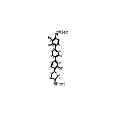 CCCCCCOc1ccc(-c2ccc(-c3ccc(C4CCC(CCCCC)CO4)c(F)c3)cc2)c(F)c1F